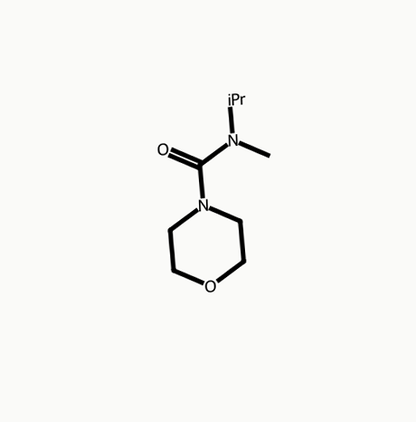 CC(C)N(C)C(=O)N1CCOCC1